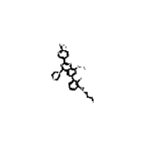 COc1cc(-c2cccc(NSCCCF)c2F)cc2c(N3CCOCC3)nc(-c3ccc(N)nc3)nc12